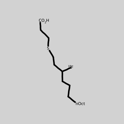 CCCCCCCCCCCC([18F])CCSCCC(=O)O